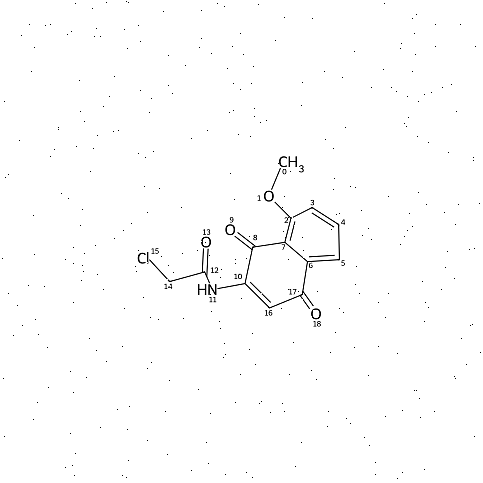 COc1cccc2c1C(=O)C(NC(=O)CCl)=CC2=O